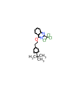 CC(C)(C)c1ccc(CCOc2nc(C(Cl)(Cl)Cl)nc3ccccc23)cc1